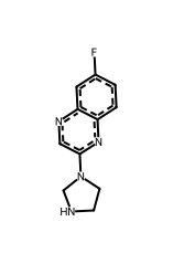 Fc1ccc2nc(N3CCNC3)cnc2c1